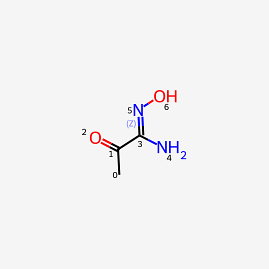 CC(=O)/C(N)=N/O